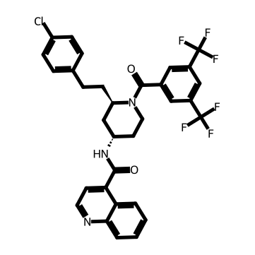 O=C(N[C@H]1CCN(C(=O)c2cc(C(F)(F)F)cc(C(F)(F)F)c2)[C@H](CCc2ccc(Cl)cc2)C1)c1ccnc2ccccc12